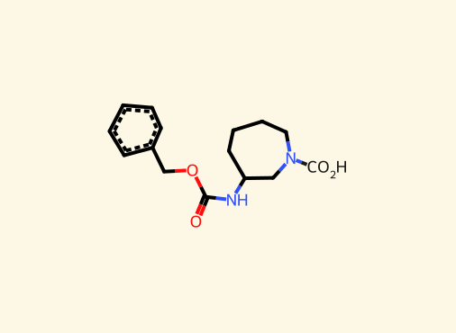 O=C(NC1CCCCN(C(=O)O)C1)OCc1ccccc1